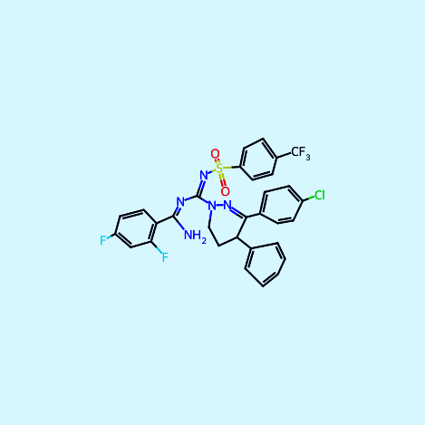 N/C(=N\C(=N\S(=O)(=O)c1ccc(C(F)(F)F)cc1)N1CCC(c2ccccc2)C(c2ccc(Cl)cc2)=N1)c1ccc(F)cc1F